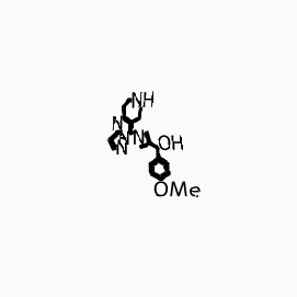 COc1ccc(C(O)C2CN(c3c4c(nc5ccnn35)CCNCC4)C2)cc1